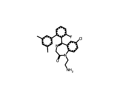 Cc1cc(C)cc(-c2cccc(F)c2C2=NCC(=O)N(CCN)c3ccc(Cl)cc32)c1